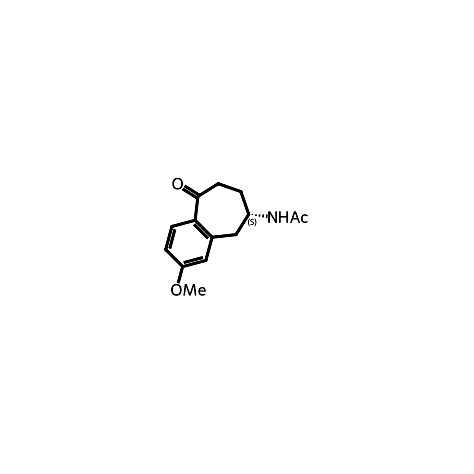 COc1ccc2c(c1)C[C@@H](NC(C)=O)CCC2=O